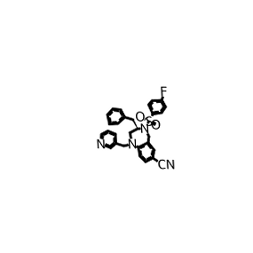 N#Cc1ccc2c(c1)CN(S(=O)(=O)c1ccc(F)cc1)[C@H](Cc1ccccc1)CN2Cc1cccnc1